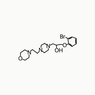 OC(COc1ccccc1Br)CN1CCN(CCN2CCOCC2)CC1